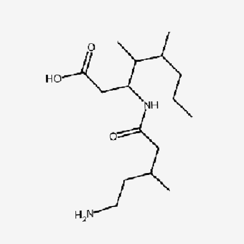 CCCC(C)C(C)C(CC(=O)O)NC(=O)CC(C)CCN